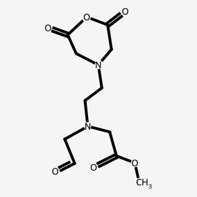 COC(=O)CN(CC=O)CCN1CC(=O)OC(=O)C1